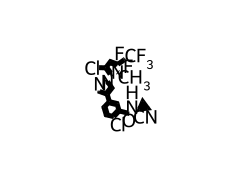 Cn1c(C(F)(F)C(F)(F)F)cc(Cl)c1-n1cc(-c2ccc(Cl)c(C(=O)NC3(C#N)CC3)c2)cn1